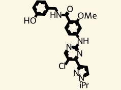 COc1cc(Nc2ncc(Cl)c(-c3ccn(C(C)C)n3)n2)ccc1C(=O)NCc1cccc(O)c1